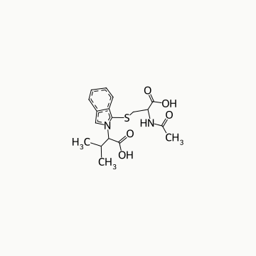 CC(=O)NC(CSc1c2ccccc2cn1C(C(=O)O)C(C)C)C(=O)O